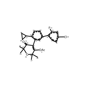 CC(=O)OC1=C(c2cc(-c3ccc(Cl)cc3F)ccc2C2CC2)C(=O)C(C)(C)OC1(C)C